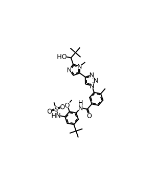 COc1c(NC(=O)c2ccc(C)c(-n3cc(-c4cnc(C(O)C(C)(C)C)n4C)nn3)c2)cc(C(C)(C)C)cc1NS(C)(=O)=O